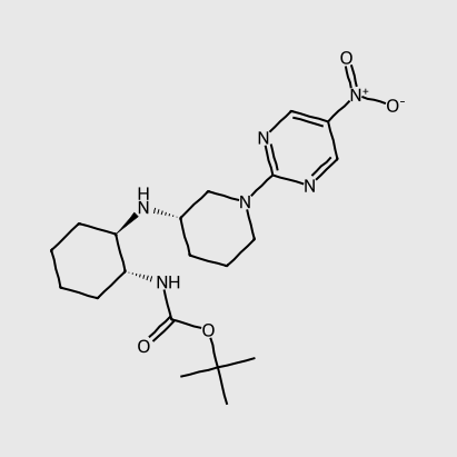 CC(C)(C)OC(=O)N[C@@H]1CCCC[C@H]1N[C@H]1CCCN(c2ncc([N+](=O)[O-])cn2)C1